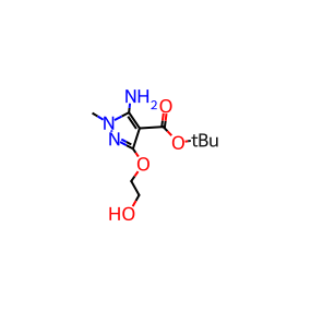 Cn1nc(OCCO)c(C(=O)OC(C)(C)C)c1N